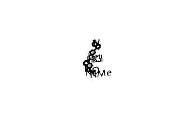 CNC(=O)c1ncn2c1CCc1c(CCN3CCC(c4cccc5nc(C)ccc45)CC3)cccc1-2.Cl.Cl